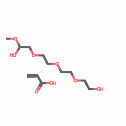 C=CC(=O)O.COC(O)COCCOCCOCCO